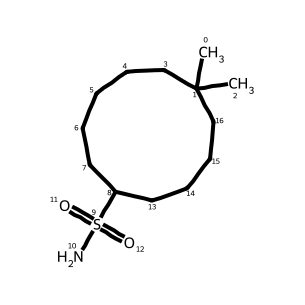 CC1(C)CCCCCC(S(N)(=O)=O)CCCC1